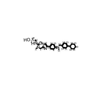 CN(Cc1nc(-c2ccc(N(C)Cc3ccc(C4CCCCC4)cc3)cc2)cs1)C(=O)NCC(=O)O